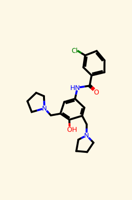 O=C(Nc1cc(CN2CCCC2)c(O)c(CN2CCCC2)c1)c1cccc(Cl)c1